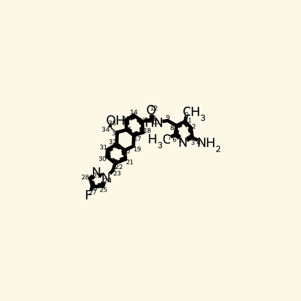 Cc1cc(N)nc(C)c1CNC(=O)c1ccc2c(c1)Cc1cc(Cn3cc(F)cn3)ccc1[C@@H]2CO